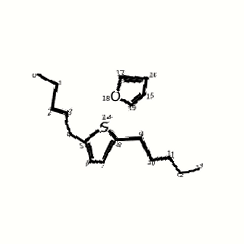 CCCCCc1ccc(CCCCC)s1.c1ccoc1